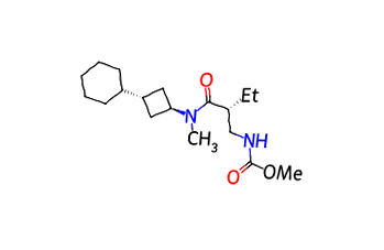 CC[C@H](CNC(=O)OC)C(=O)N(C)[C@H]1C[C@H](C2CCCCC2)C1